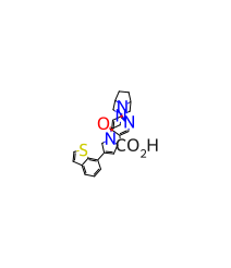 O=C(O)c1ccc(N2C3CCC2CN(CC(=O)N2CC=C(c4cccc5ccsc45)C2)C3)nc1